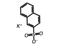 O=S(=O)([O-])c1ccc2ccccc2c1.[K+]